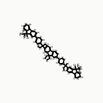 CCC(C)(c1ccc(-c2ccc3c(c2)C(CC)(CC)c2cc4c(cc2-3)CC4(CC)c2ccc(-c3ccc4c(c3)C(C)(C(F)(F)F)c3ccccc3-4)cc2)cc1)c1ccc2c(c1)C(C)(C(F)(F)F)c1ccccc1-2